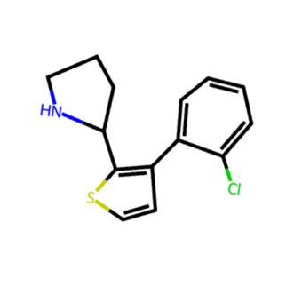 Clc1ccccc1-c1ccsc1C1CCCN1